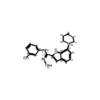 O/N=C(/Nc1cccc(Cl)c1)c1cc2cccc(N3CCCCC3)c2o1